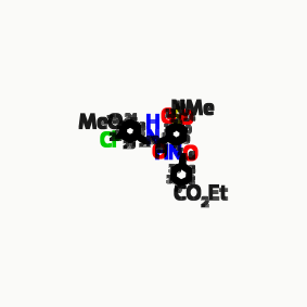 CCOC(=O)C1CCC(C(=O)Nc2ccc(S(=O)(=O)NC)cc2C(=O)NCc2ccc(OC)c(Cl)c2)CC1